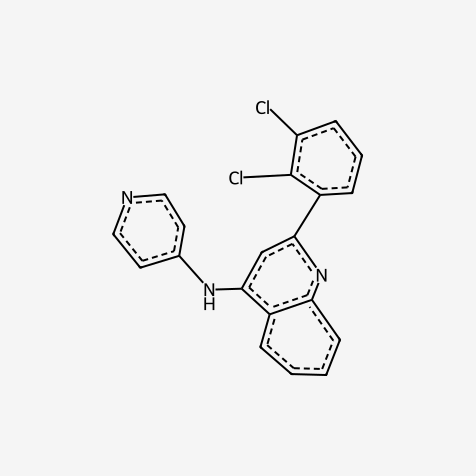 Clc1cccc(-c2cc(Nc3ccncc3)c3ccccc3n2)c1Cl